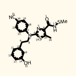 CSNC(=O)c1nc(N(CCc2cccc(O)c2)c2ccc(C#N)cc2)sc1C